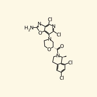 C[C@H]1c2c(Cl)cc(Cl)cc2CCN1C(=O)[C@H]1CN(c2c(Cl)nc(Cl)c3nc(N)oc23)CCO1